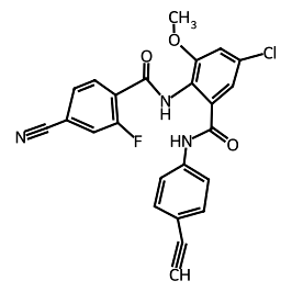 C#Cc1ccc(NC(=O)c2cc(Cl)cc(OC)c2NC(=O)c2ccc(C#N)cc2F)cc1